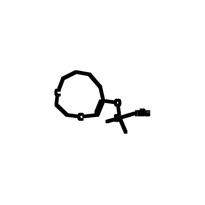 CCCC[Si](C)(C)OC1=CCCCCCCCC1